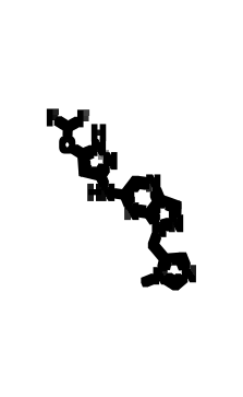 Cn1cncc1Cn1ncc2ncc(Nc3cc(OC(F)F)[nH]n3)nc21